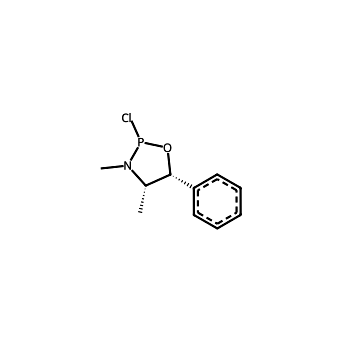 C[C@H]1[C@@H](c2ccccc2)OP(Cl)N1C